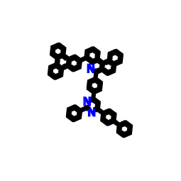 c1ccc(-c2ccc(-c3cc(-c4ccc(-c5nc6c(-c7ccc8c9ccccc9c9ccccc9c8c7)cccc6c6c5ccc5ccccc56)cc4)nc(-c4ccccc4)n3)cc2)cc1